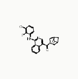 O=C(c1cnc(Nc2cccc(Cl)c2F)c2ccccc12)N1CC2CC(C1)O2